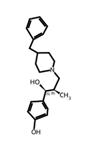 C[C@H](CN1CCC(Cc2ccccc2)CC1)[C@H](O)c1ccc(O)cc1